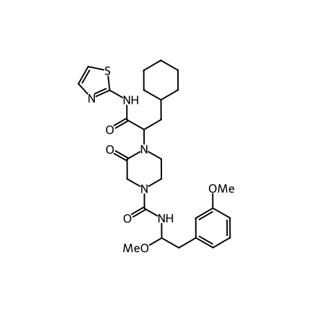 COc1cccc(CC(NC(=O)N2CCN(C(CC3CCCCC3)C(=O)Nc3nccs3)C(=O)C2)OC)c1